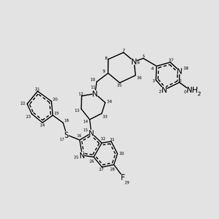 Nc1ncc(CN2CCC(CN3CCC(n4c(SCc5ccccc5)nc5cc(F)ccc54)CC3)CC2)cn1